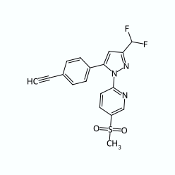 C#Cc1ccc(-c2cc(C(F)F)nn2-c2ccc(S(C)(=O)=O)cn2)cc1